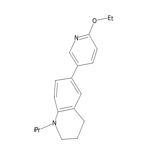 CCOc1ccc(-c2ccc3c(c2)CCCN3C(C)C)cn1